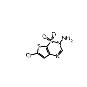 NN1C=Nc2cc(Cl)sc2S1(=O)=O